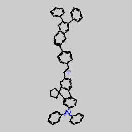 C(=C\c1ccc2c(c1)C1(CCCC1)c1cc(N(c3ccccc3)c3ccccc3)ccc1-2)/c1ccc(-c2ccc3cc(-c4ccccc4)c(-c4ccccc4)cc3c2)cc1